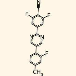 Cc1ccc(-c2cnc(-c3cc(F)c(C#N)c(F)c3)nc2)c(F)c1